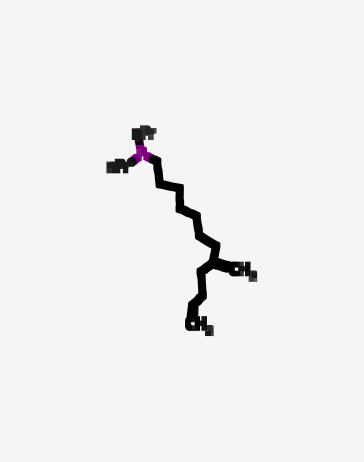 C=CCCC(=C)CCCCCCCP(CCC)CCC